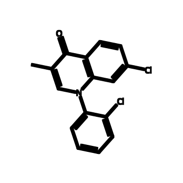 Cc1cn(-c2ccccc2Cl)c2cc(Cl)ccc2c1=O